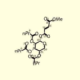 CCCC(=O)O[C@@H]1[C@@H](OC(=O)CCC)[C@H](OC(=O)/C=C/C(=O)OC)OC[C@H]1OC(=O)CCC